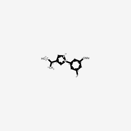 COc1cc(F)cc(-n2cc(C(C)C(=O)O)cn2)c1